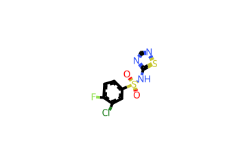 O=S(=O)(Nc1ncns1)c1ccc(F)c(Cl)c1